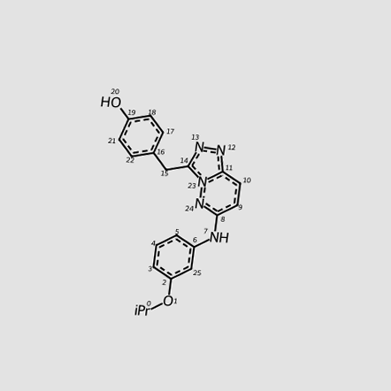 CC(C)Oc1cccc(Nc2ccc3nnc(Cc4ccc(O)cc4)n3n2)c1